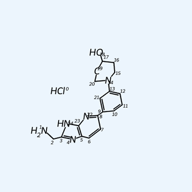 Cl.NCc1nc2ccc(-c3cccc(N4CCC(O)CC4)c3)nc2[nH]1